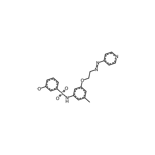 Cc1cc(NS(=O)(=O)c2cccc([O])c2)cc(OCCN=Nc2ccncc2)c1